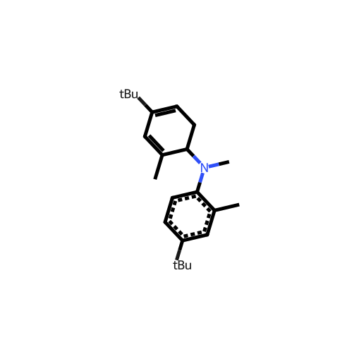 CC1=CC(C(C)(C)C)=CCC1N(C)c1ccc(C(C)(C)C)cc1C